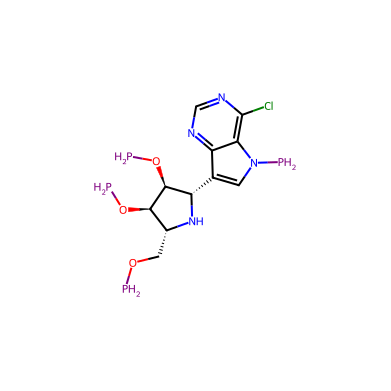 POC[C@H]1N[C@@H](c2cn(P)c3c(Cl)ncnc23)[C@H](OP)[C@@H]1OP